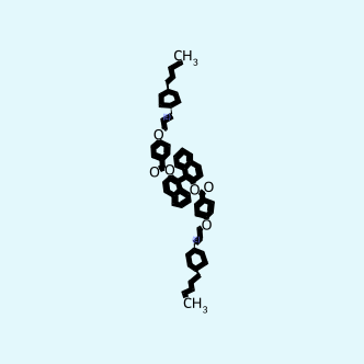 CCCCC[C@H]1CC[C@H](/C=C/COc2ccc(C(=O)Oc3ccc4ccccc4c3-c3c(OC(=O)c4ccc(OC/C=C/[C@H]5CC[C@H](CCCCC)CC5)cc4)ccc4ccccc34)cc2)CC1